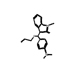 CCCOC(c1ccc(N(C)C)cc1)c1c(C)n(C)c2ccccc12